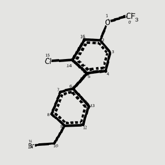 FC(F)(F)Oc1ccc(-c2ccc(CBr)cc2)c(Cl)c1